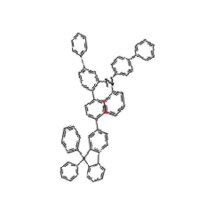 c1ccc(-c2ccc(N(c3ccccc3)c3cc(-c4ccccc4)ccc3-c3ccc(-c4ccc5c(c4)C(c4ccccc4)(c4ccccc4)c4ccccc4-5)cc3)cc2)cc1